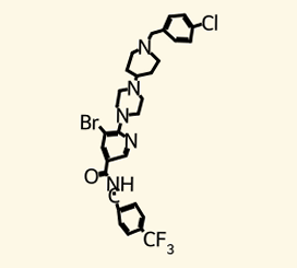 O=C(NCc1ccc(C(F)(F)F)cc1)c1cnc(N2CCN(C3CCN(Cc4ccc(Cl)cc4)CC3)CC2)c(Br)c1